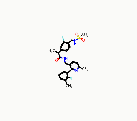 Cc1cccc(-c2nc(C(F)(F)F)ccc2CNC(=O)C(C)c2ccc(CNS(C)(=O)=O)c(F)c2)c1F